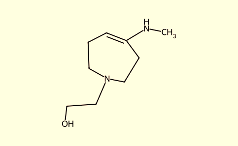 CNC1=CCCN(CCO)CC1